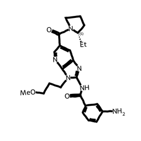 CC[C@H]1CCCN1C(=O)c1cnc2c(c1)nc(NC(=O)c1cccc(N)c1)n2CCCOC